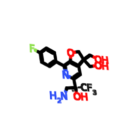 NC[C@](O)(c1cc2c(c(-c3ccc(F)cc3)n1)OCC2(CO)CO)C(F)(F)F